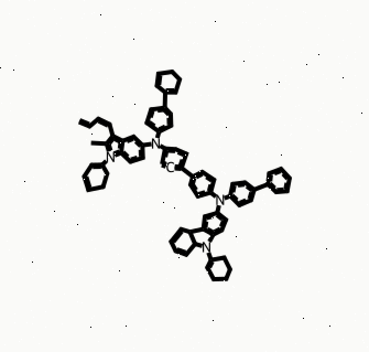 C=C/C=C\c1c(C)n(C2=CC=CCC2)c2ccc(N(c3ccc(C4=CCCC=C4)cc3)c3ccc(-c4ccc(N(c5ccc(-c6ccccc6)cc5)c5ccc6c(c5)C5C=CC=CC5N6C5=CCCCC5)cc4)cc3)cc12